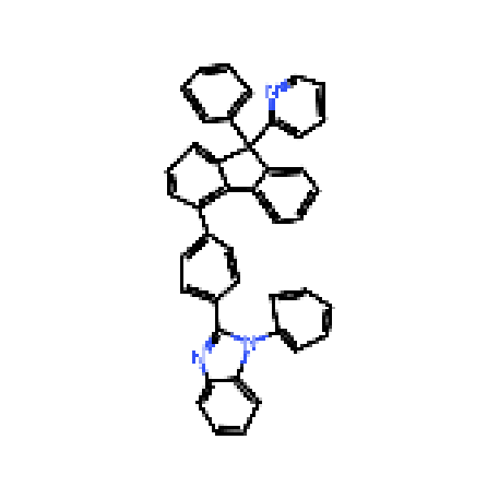 c1ccc(-n2c(-c3ccc(-c4cccc5c4-c4ccccc4C5(c4ccccc4)c4ccccn4)cc3)nc3ccccc32)cc1